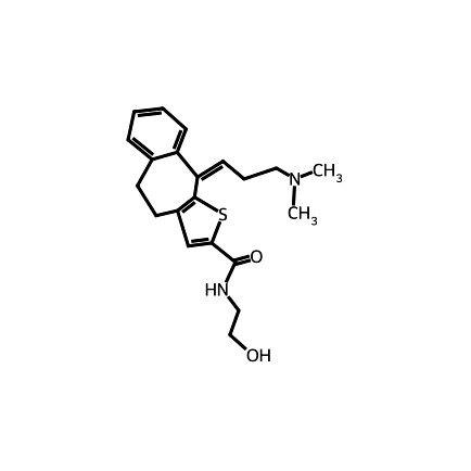 CN(C)CCC=C1c2ccccc2CCc2cc(C(=O)NCCO)sc21